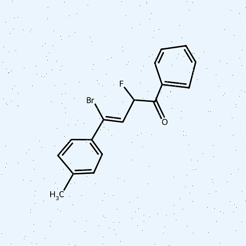 Cc1ccc(C(Br)=CC(F)C(=O)c2ccccc2)cc1